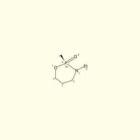 CCN1CCCO[P@]1(C)=O